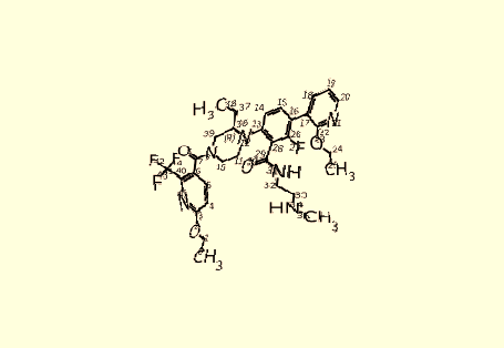 CCOc1ccc(C(=O)N2CCN(c3ccc(-c4cccnc4OCC)c(F)c3C(=O)NCCNC)[C@H](CC)C2)c(C(F)(F)F)n1